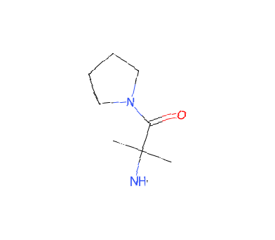 CC(C)([NH])C(=O)N1CCCC1